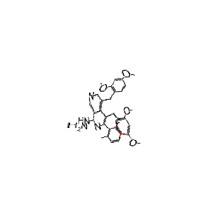 COc1ccc(Cc2cncc3c(NN)nc(-c4c(C)cccc4F)c(Cc4ccc(OC)cc4OC)c23)c(OC)c1